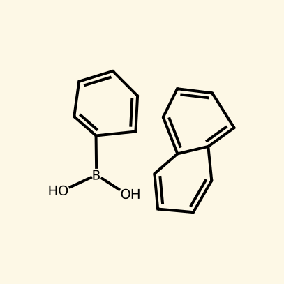 OB(O)c1ccccc1.c1ccc2ccccc2c1